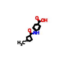 C[C@H]1CCC(C(=O)Nc2ccc(C(=O)O)cc2)C1